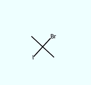 CC(C)(Br)I